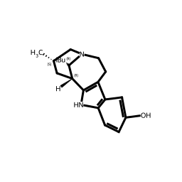 CC[C@@H](C)C1[C@H]2C[C@H](C)CN1CCc1c2[nH]c2ccc(O)cc12